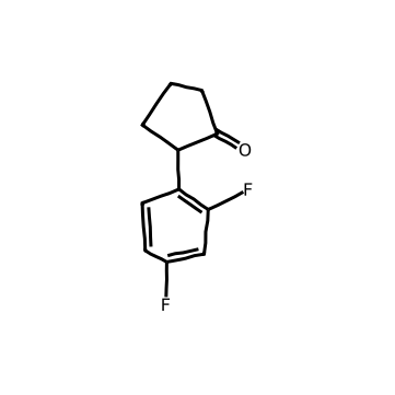 O=C1CCCC1c1ccc(F)cc1F